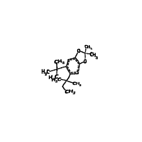 CCC(C)(C)c1cc2c(cc1C(C)(C)C)OC(C)(C)O2